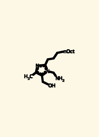 CCCCCCCCCCCc1nc(C)c(CO)n1CN